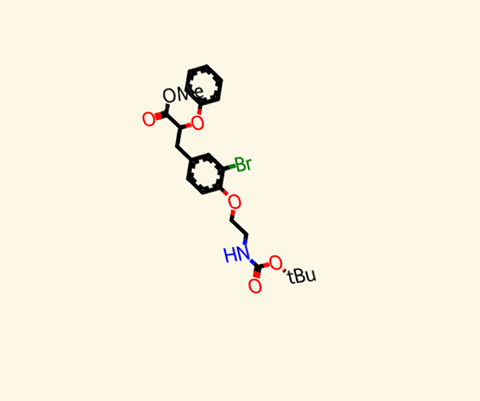 COC(=O)C(Cc1ccc(OCCNC(=O)OC(C)(C)C)c(Br)c1)Oc1ccccc1